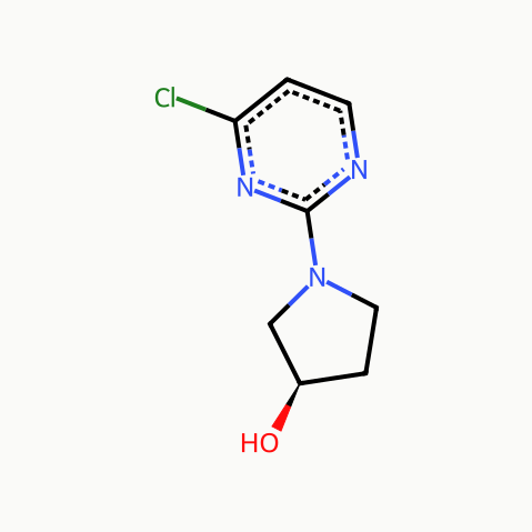 O[C@@H]1CCN(c2nccc(Cl)n2)C1